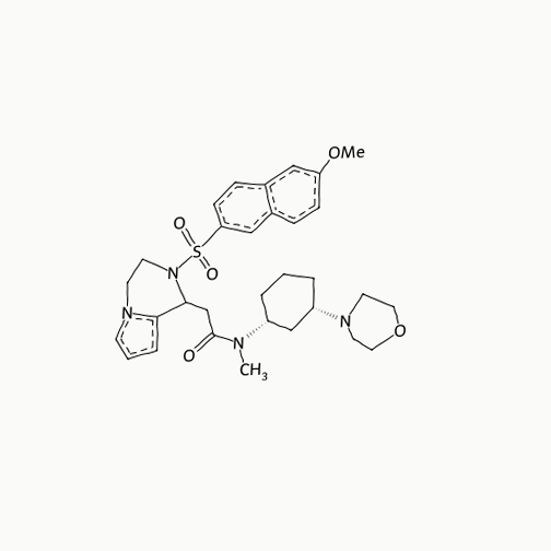 COc1ccc2cc(S(=O)(=O)N3CCn4cccc4C3CC(=O)N(C)[C@@H]3CCC[C@H](N4CCOCC4)C3)ccc2c1